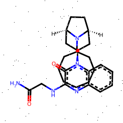 NC(=O)CNc1nc2ccccc2n([C@H]2C[C@H]3CC[C@@H](C2)N3C2CCCCCCC2)c1=O